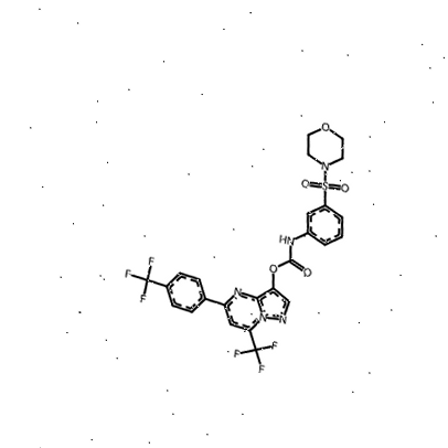 O=C(Nc1cccc(S(=O)(=O)N2CCOCC2)c1)Oc1cnn2c(C(F)(F)F)cc(-c3ccc(C(F)(F)F)cc3)nc12